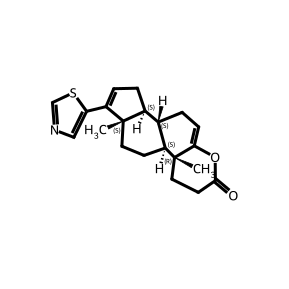 C[C@]12CCC(=O)OC1=CC[C@@H]1[C@@H]2CC[C@]2(C)C(c3cncs3)=CC[C@@H]12